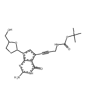 CC(C)(C)OC(=O)NCC#Cc1cn(C2CCC(CO)O2)c2nc(N)[nH]c(=O)c12